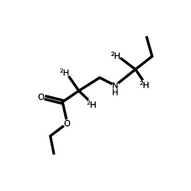 [2H]C([2H])(CC)NCC([2H])([2H])C(=O)OCC